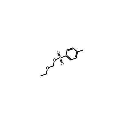 CCOCOS(=O)(=O)c1ccc(C)cc1